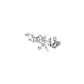 CCOc1cc2c(cc1OC)-c1c/c(=N\c3c(C)cc(C)cc3C)n(CCNC(=O)C3=C(Cl)NNN3)c(=O)n1CC2